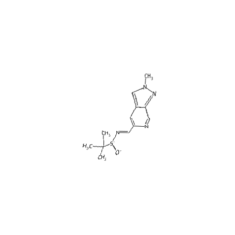 Cn1cc2cc(C=N[S+]([O-])C(C)(C)C)ncc2n1